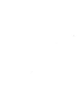 Cc1cccc(C)c1-c1c(OP(=O)(O)OP(=O)(O)O)c(-c2c(C)cccc2C)c(-c2c(C)cccc2C)c(-c2c(C)cccc2C)c1OP(=O)(O)OP(=O)(O)O